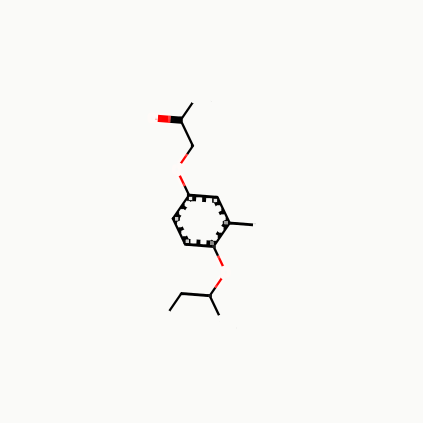 CCC(C)Oc1ccc(OCC(C)=O)cc1C